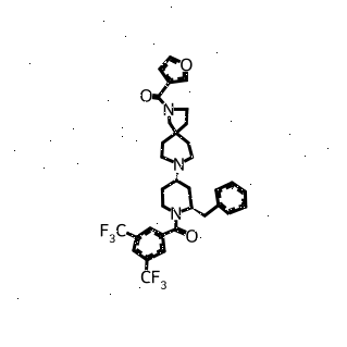 O=C(c1ccoc1)N1CCC2(CCN([C@H]3CCN(C(=O)c4cc(C(F)(F)F)cc(C(F)(F)F)c4)[C@H](Cc4ccccc4)C3)CC2)C1